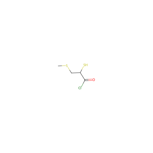 CSCC(S)C(=O)Cl